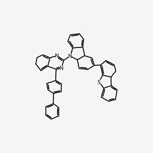 C1=CC(C2=CC3c4ccccc4N(c4nc(-c5ccc(-c6ccccc6)cc5)c5c(n4)=CCCC=5)C3C=C2)=C2Sc3ccccc3C2C1